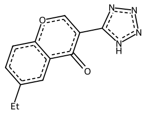 CCc1ccc2occ(-c3nnn[nH]3)c(=O)c2c1